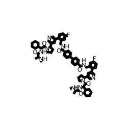 CNC(C)C(=O)NC(C(=O)N1CCCC1c1cncc(-c2ccc(F)cc2CNC(=O)c2ccc(-c3ccc(C(=O)NCc4cc(F)ccc4-c4cncc(C5CCCN5C(=O)C(NC(=O)C(C)NC)C5CCCCC5)c4)cc3)cc2)c1)C1CCCCC1